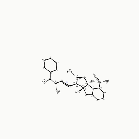 CC(C1CCCCC1)[C@@H](O)/C=C/[C@@H]1[C@H]2CC3CCCC(C(=O)O)N3[C@@H]2C[C@H]1O